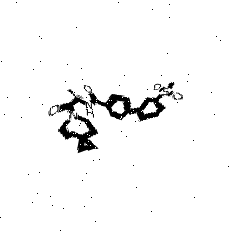 C[C@@H](NC(=O)c1ccc(-c2cccc(S(C)(=O)=O)c2)cc1)C(=O)N1CCC2(CC1)CC2